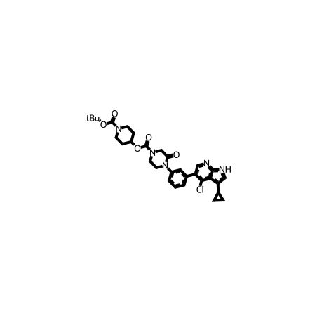 CC(C)(C)OC(=O)N1CCC(OC(=O)N2CCN(c3cccc(-c4cnc5[nH]cc(C6CC6)c5c4Cl)c3)C(=O)C2)CC1